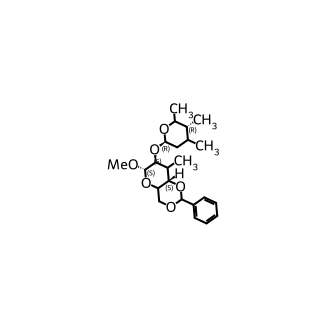 CO[C@H]1OC2COC(c3ccccc3)O[C@H]2C(C)[C@@H]1O[C@@H]1CC(C)[C@@H](C)C(C)O1